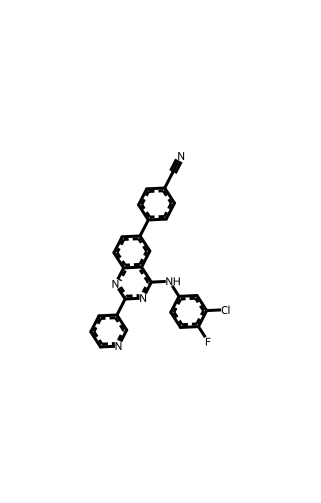 N#Cc1ccc(-c2ccc3nc(-c4cccnc4)nc(Nc4ccc(F)c(Cl)c4)c3c2)cc1